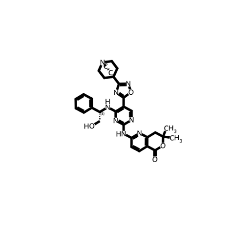 CC1(C)Cc2nc(Nc3ncc(-c4nc(C56CCN(CC5)CC6)no4)c(N[C@H](CO)c4ccccc4)n3)ccc2C(=O)O1